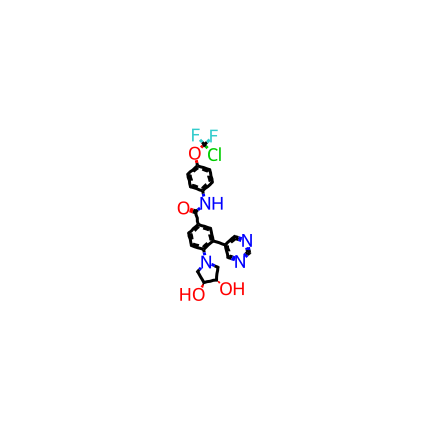 O=C(Nc1ccc(OC(F)(F)Cl)cc1)c1ccc(N2C[C@H](O)[C@@H](O)C2)c(-c2cncnc2)c1